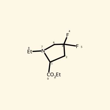 CCOC(=O)C1CC(F)(F)CN1CC